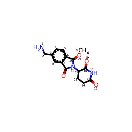 C.NCc1ccc2c(c1)C(=O)N(C1CCC(=O)NC1=O)C2=O